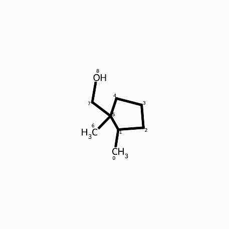 CC1CCCC1(C)CO